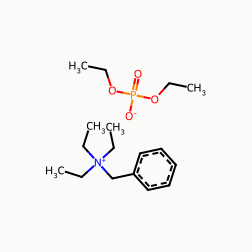 CCOP(=O)([O-])OCC.CC[N+](CC)(CC)Cc1ccccc1